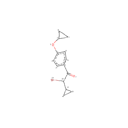 O=C(c1ccc(OC2CC2)cc1)C(Br)C1CC1